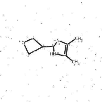 CC1=C(C)NC(C2COC2)N1